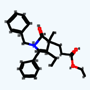 CCOC(=O)CCC1(C)C(=O)N(Cc2ccccc2)C(c2ccccc2)=C1CC